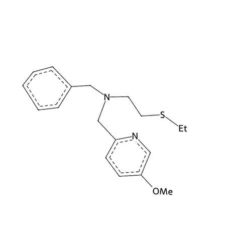 CCSCCN(Cc1ccccc1)Cc1ccc(OC)cn1